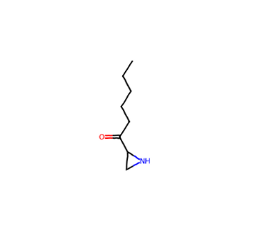 CCCCCC(=O)C1CN1